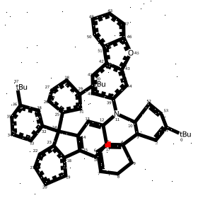 CC(C)(C)C1=CC(C2=CC=CCC2)C(N(C2=CC3=C(CC2)c2ccccc2C3(c2cccc(C(C)(C)C)c2)c2cccc(C(C)(C)C)c2)c2ccc3c(c2)oc2ccccc23)C=C1